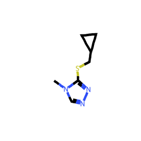 Cn1cnnc1SCC1CC1